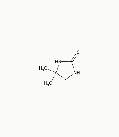 CC1(C)CNC(=S)N1